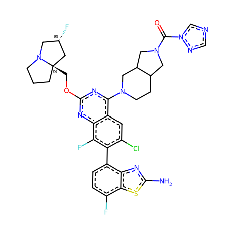 Nc1nc2c(-c3c(Cl)cc4c(N5CCC6CN(C(=O)n7cncn7)CC6C5)nc(OC[C@@]56CCCN5C[C@H](F)C6)nc4c3F)ccc(F)c2s1